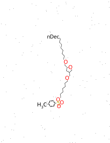 CCCCCCCCCCCCCCCCCCOCC1CC(COCCCCCCCOS(=O)(=O)c2ccc(C)cc2)CO1